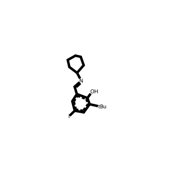 CC(C)(C)c1cc(I)cc(C=NC2CCCCC2)c1O